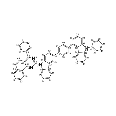 c1ccc(-c2nc(-n3c4ccccc4c4cc(-c5ccc(-c6cccc7c6c6ccccc6n7-c6ccccc6)cc5)ccc43)nc3c2ccc2ccccc23)cc1